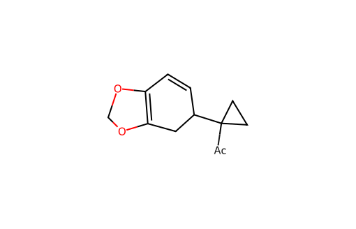 CC(=O)C1(C2C=CC3=C(C2)OCO3)CC1